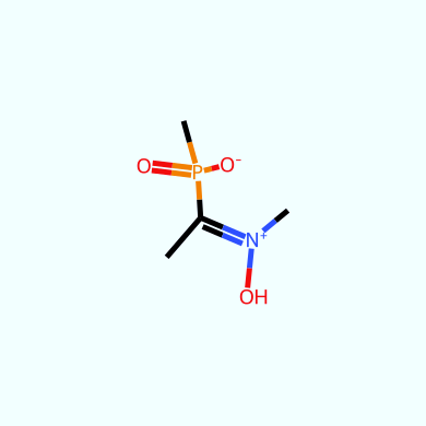 CC(=[N+](C)O)P(C)(=O)[O-]